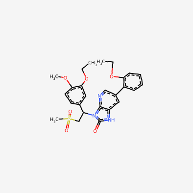 CCOc1cc(C(CS(C)(=O)=O)n2c(=O)[nH]c3cc(-c4ccccc4OCC)cnc32)ccc1OC